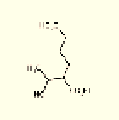 CCOC(=O)C(CCCC(=O)O)C(C)O